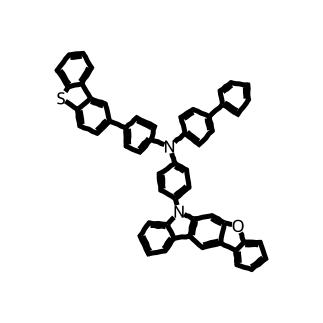 c1ccc(-c2ccc(N(c3ccc(-c4ccc5sc6ccccc6c5c4)cc3)c3ccc(-n4c5ccccc5c5cc6c(cc54)oc4ccccc46)cc3)cc2)cc1